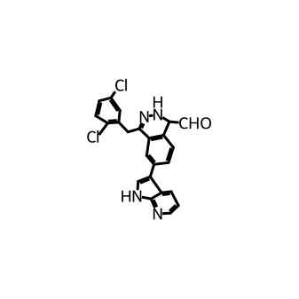 O=CC1NN=C(Cc2cc(Cl)ccc2Cl)c2cc(-c3c[nH]c4ncccc34)ccc21